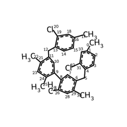 Cc1ccc(Cc2cc(-c3cc(Cc4ccc(C)cc4Cl)c(C)cc3C)c(C)cc2C)c(Cl)c1